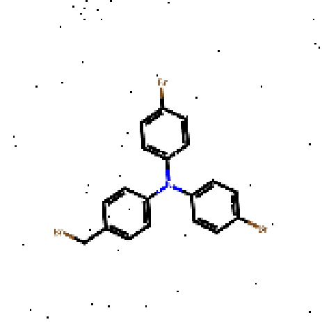 BrCc1ccc(N(c2ccc(Br)cc2)c2ccc(Br)cc2)cc1